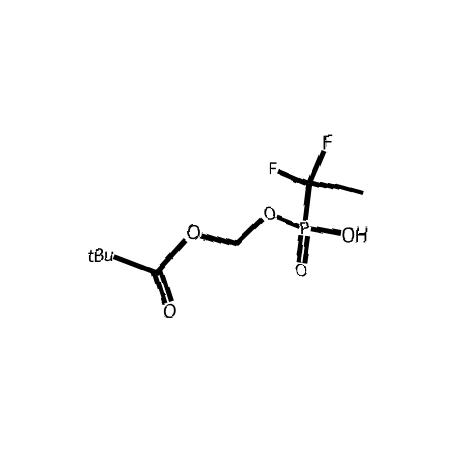 CC(C)(C)C(=O)OCOP(=O)(O)C(C)(F)F